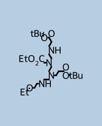 CCOCCNCCN(CCC(=O)OC(C)(C)C)CCN(CCNCCC(=O)OC(C)(C)C)CC(=O)OCC